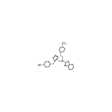 Cc1ccc(CCN(Cc2nncn2Cc2ccc(C#N)cc2)c2nc3ccccc3s2)cc1